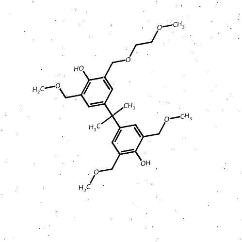 COCCOCc1cc(C(C)(C)c2cc(COC)c(O)c(COC)c2)cc(COC)c1O